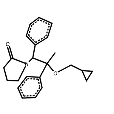 CC(OCC1CC1)(c1ccccc1)C(c1ccccc1)N1CCCC1=O